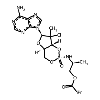 CC(C)C(=O)OC[C@H](C)N[P@]1(=O)OC[C@H]2O[C@@H](n3cnc4c(N)ncnc43)[C@](C)(Cl)[C@@H]2O1